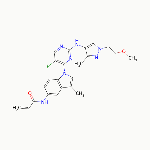 C=CC(=O)Nc1ccc2c(c1)c(C)cn2-c1nc(Nc2cn(CCOC)nc2C)ncc1F